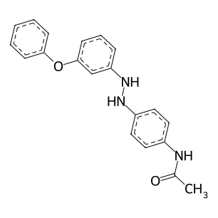 CC(=O)Nc1ccc(NNc2cccc(Oc3ccccc3)c2)cc1